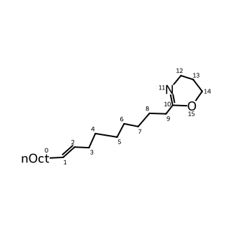 CCCCCCCCC=CCCCCCCCC1=NCCCO1